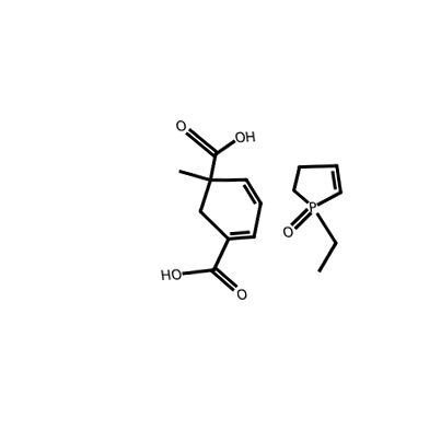 CC1(C(=O)O)C=CC=C(C(=O)O)C1.CCP1(=O)C=CCC1